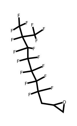 FC(F)(F)C(F)(C(F)(F)F)C(F)(F)C(F)(F)C(F)(F)C(F)(F)C(F)(F)CC1CO1